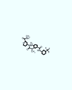 CNC(=O)c1cc(NC(=O)N(C)c2cc(C(=O)Nc3cccc(C(F)(F)F)c3)ccc2C)ccn1